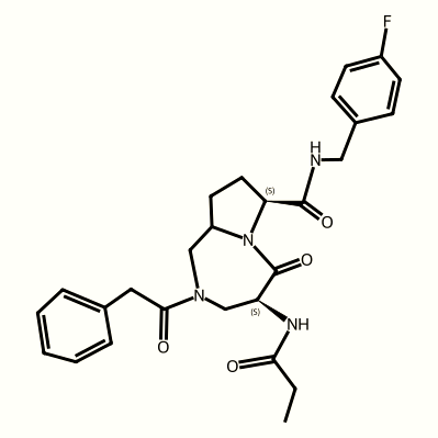 CCC(=O)N[C@H]1CN(C(=O)Cc2ccccc2)CC2CC[C@@H](C(=O)NCc3ccc(F)cc3)N2C1=O